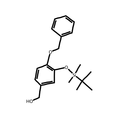 CC(C)(C)[Si](C)(C)Oc1cc(CO)ccc1OCc1ccccc1